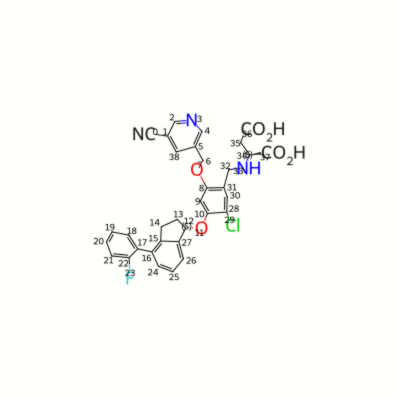 N#Cc1cncc(COc2cc(O[C@H]3CCc4c(-c5ccccc5F)cccc43)c(Cl)cc2CN[C@@H](CC(=O)O)C(=O)O)c1